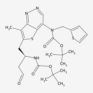 Cc1c(C[C@H](CC=O)NC(=O)OC(C)(C)C)sc2c(N(Cc3cccs3)C(=O)OC(C)(C)C)cnnc12